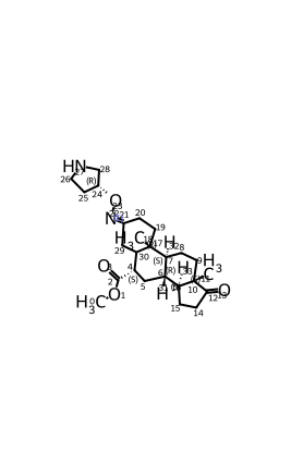 COC(=O)[C@H]1C[C@@H]2[C@H](CC[C@]3(C)C(=O)CC[C@@H]23)[C@@]2(C)CC/C(=N\O[C@@H]3CCNC3)CC12